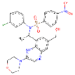 CC(c1cc(CO)cc2ncc(N3CCOCC3)nc12)N(c1cccc(F)c1)S(=O)(=O)c1ccc([N+](=O)[O-])cc1